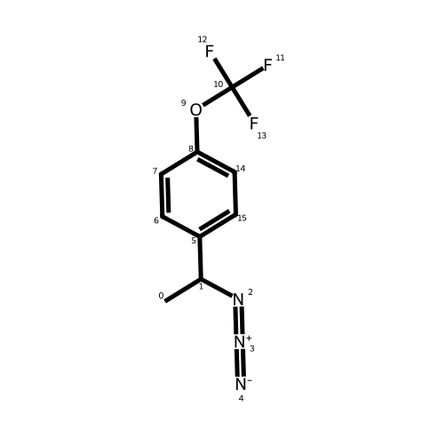 CC(N=[N+]=[N-])c1ccc(OC(F)(F)F)cc1